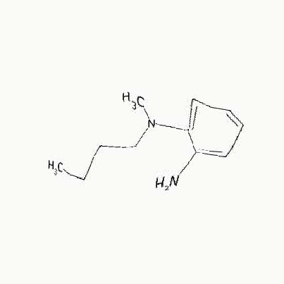 CCCCN(C)c1ccccc1N